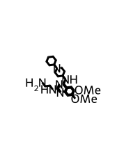 COc1cc2nc(NCCN)nc(NC3CCN(C4CCCCC4)CC3)c2cc1OC